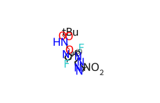 CC(C)(C)OC(=O)NCCOc1ncc(F)cc1[C@H]1C[C@H](F)CN1c1ccn2ncc([N+](=O)[O-])c2n1